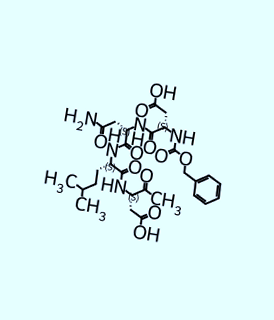 CC(=O)[C@H](CC(=O)O)NC(=O)[C@H](CCC(C)C)NC(=O)[C@H](CC(N)=O)NC(=O)[C@H](CC(=O)O)NC(=O)OCc1ccccc1